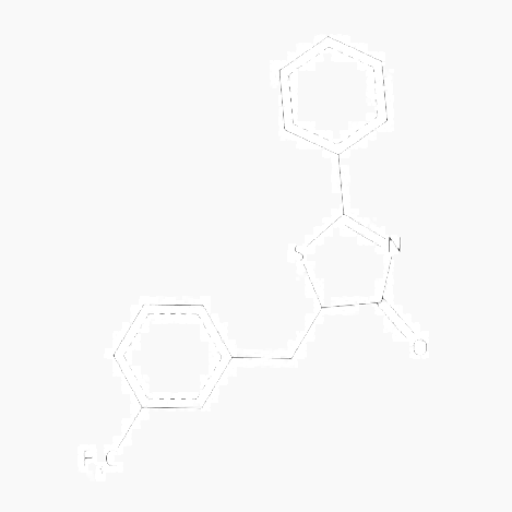 O=C1N=C(c2ccccc2)SC1Cc1cccc(C(F)(F)F)c1